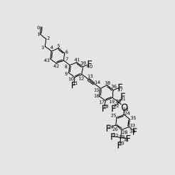 C=CCCc1ccc(-c2cc(F)c(C#Cc3cc(F)c(C(F)(F)Oc4cc(F)c(C(F)(F)F)c(F)c4)c(F)c3)c(F)c2)cc1